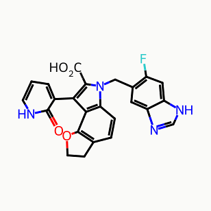 O=C(O)c1c(-c2ccc[nH]c2=O)c2c3c(ccc2n1Cc1cc2nc[nH]c2cc1F)CCO3